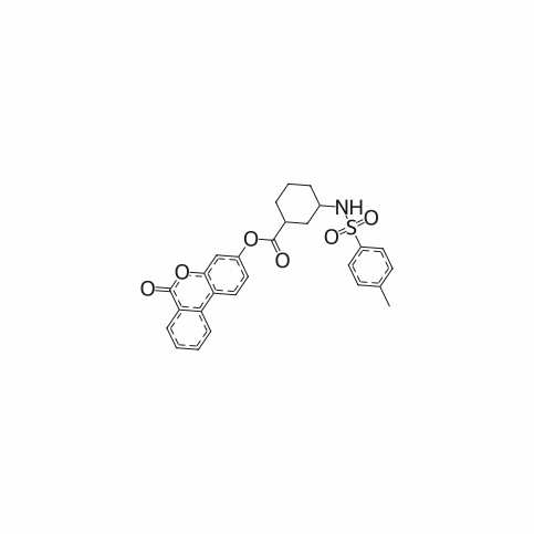 Cc1ccc(S(=O)(=O)NC2CCCC(C(=O)Oc3ccc4c(c3)oc(=O)c3ccccc34)C2)cc1